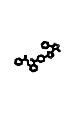 C=C(CCc1ccccc1C(=O)N1CCC(c2nc(-c3c(-c4ccccc4)noc3C)cs2)CC1)c1ccccc1